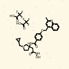 Cc1cc(COc2ccc(C(=O)NC3(CC(=O)NO)CCN(CC4CC4)C3)cc2)c2ccccc2n1.O=C(O)C(F)(F)F.O=C(O)C(F)(F)F